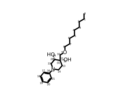 CCCCCCCCCOC[C@@]1(O)CCN(c2ccccc2)C[C@@H]1O